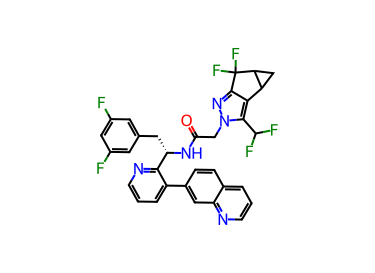 O=C(Cn1nc2c(c1C(F)F)C1CC1C2(F)F)N[C@@H](Cc1cc(F)cc(F)c1)c1ncccc1-c1ccc2cccnc2c1